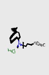 C=Cc1ccc(N(C)C(C)(C)CCCCCCCCCCCCC)cc1.Cl